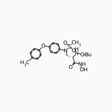 Cc1ccc(Oc2ccc(N(C[C@H](NOCC(C)C)C(=O)NO)S(C)(=O)=O)cc2)cc1